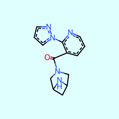 O=C(c1cccnc1-n1cccn1)N1CC2CC(C1)N2